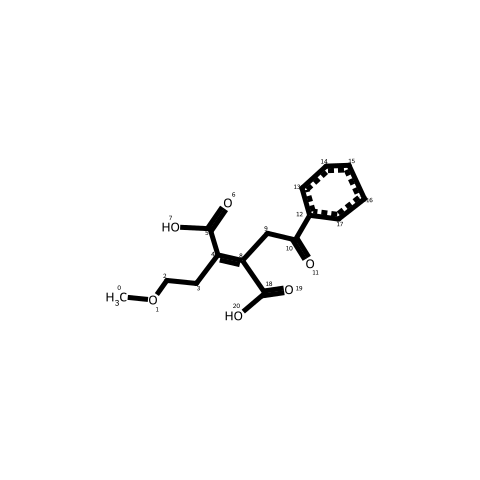 COCCC(C(=O)O)=C(CC(=O)c1ccccc1)C(=O)O